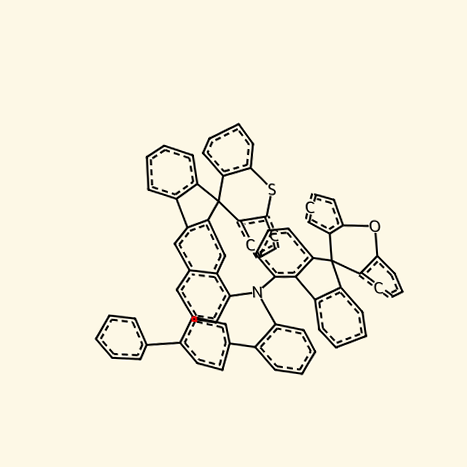 c1ccc(-c2ccc(-c3ccccc3N(c3cccc4c3-c3ccccc3C43c4ccccc4Oc4ccccc43)c3cccc4cc5c(cc34)C3(c4ccccc4Sc4ccccc43)c3ccccc3-5)cc2)cc1